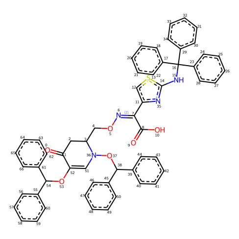 O=C1CC(CO/N=C(\C(=O)O)c2csc(NC(c3ccccc3)(c3ccccc3)c3ccccc3)n2)N(OC(c2ccccc2)c2ccccc2)C=C1OC(c1ccccc1)c1ccccc1